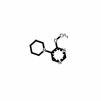 COc1ncncc1N1C[CH]CCC1